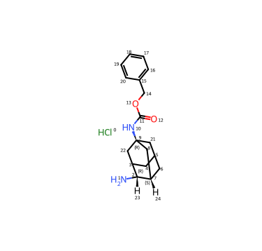 Cl.N[C@@H]1C2CC3C[C@H]1C[C@@](NC(=O)OCc1ccccc1)(C3)C2